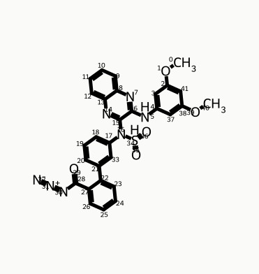 COc1cc(Nc2nc3ccccc3nc2N(c2cccc(-c3ccccc3C(=O)N=[N+]=[N-])c2)[SH](=O)=O)cc(OC)c1